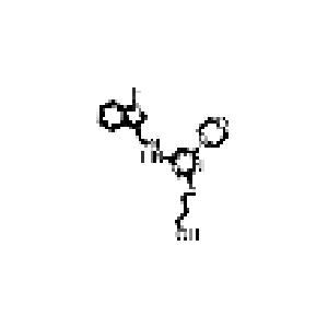 OCCCSc1nc(NN=Cc2c[nH]c3ccccc23)cc(N2CCOCC2)n1